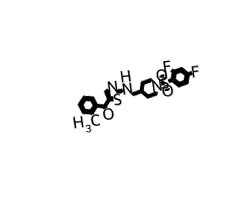 Cc1ccccc1C(=O)c1cnc(NCC2CCN(S(=O)(=O)c3ccc(F)cc3F)CC2)s1